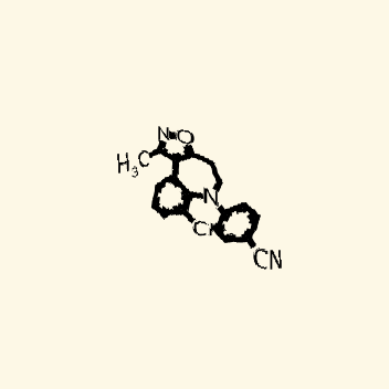 Cc1cccc2c1N(c1ccc(C#N)cc1)CCc1onc(C)c1-2